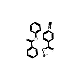 C#N.CC(C)OC(=S)c1ccccc1.S=C(Oc1ccccc1)c1ccccc1